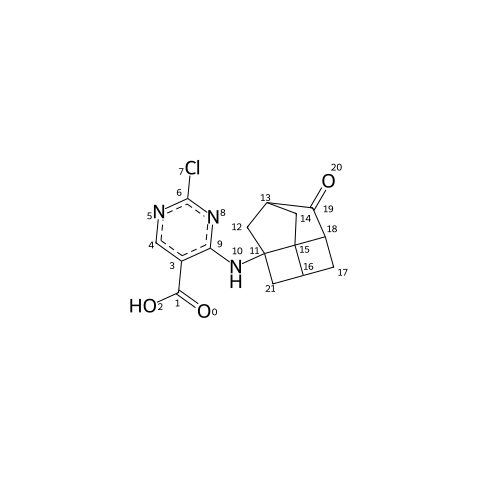 O=C(O)c1cnc(Cl)nc1NC12CC3CC14C(CC4C3=O)C2